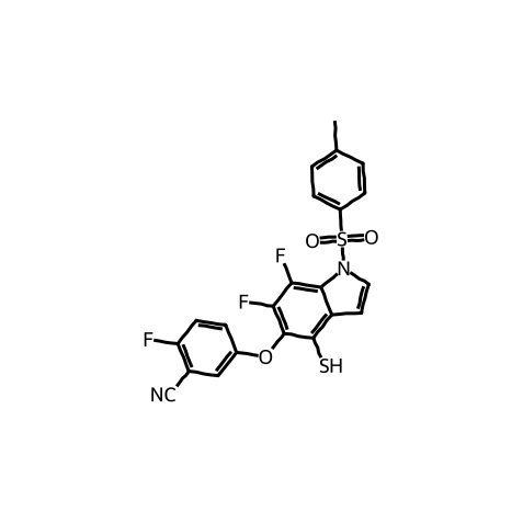 Cc1ccc(S(=O)(=O)n2ccc3c(S)c(Oc4ccc(F)c(C#N)c4)c(F)c(F)c32)cc1